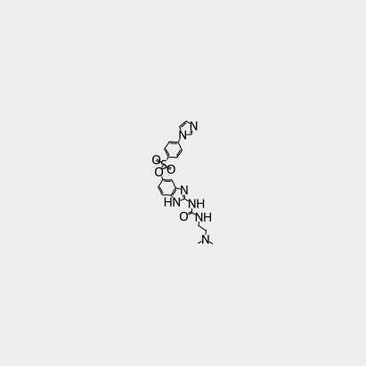 CN(C)CCNC(=O)Nc1nc2cc(OS(=O)(=O)c3ccc(-n4ccnc4)cc3)ccc2[nH]1